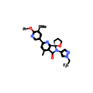 COc1cc(-c2cc(C)c3c(n2)[C@]2(CCCO2)N(c2cnn(CC(F)(F)F)c2)C3=O)cnc1OC(C)C